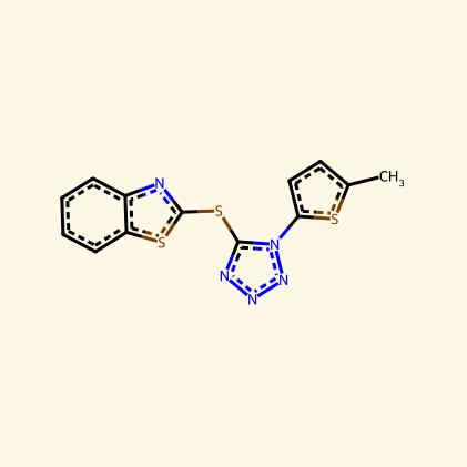 Cc1ccc(-n2nnnc2Sc2nc3ccccc3s2)s1